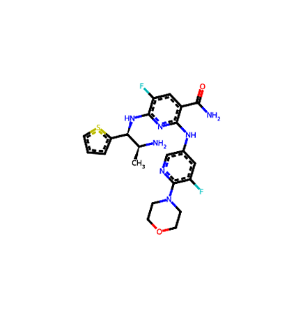 C[C@H](N)[C@H](Nc1nc(Nc2cnc(N3CCOCC3)c(F)c2)c(C(N)=O)cc1F)c1cccs1